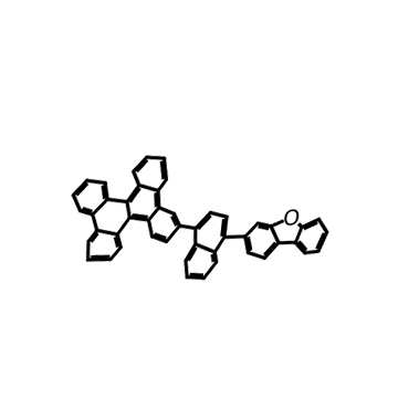 c1ccc2c(c1)oc1cc(-c3ccc(-c4ccc5c(c4)c4ccccc4c4c6ccccc6c6ccccc6c54)c4ccccc34)ccc12